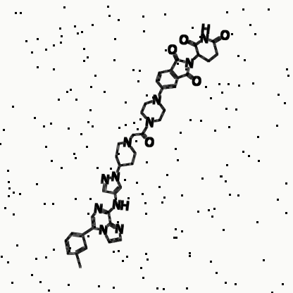 Cc1cccc(-c2cnc(Nc3cnn(C4CCN(CC(=O)N5CCN(c6ccc7c(c6)C(=O)N(C6CCC(=O)NC6=O)C7=O)CC5)CC4)c3)c3nccn23)c1